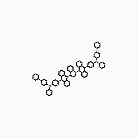 c1ccc(-c2ccc(N(c3ccccc3)c3ccc(-c4c5ccccc5c(-c5ccc(-c6c7ccccc7c(-c7ccc(N(c8ccccc8)c8ccc(-c9ccccc9)cc8)cc7)c7ccccc67)c6ccccc56)c5ccccc45)cc3)cc2)cc1